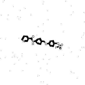 O=C(Nc1ccc(COc2ccc(OS(=O)(=O)F)cc2)cc1)c1cccnc1